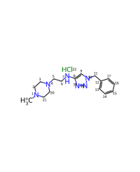 CN1CCN(CCNc2cn(Cc3ccccc3)nn2)CC1.Cl